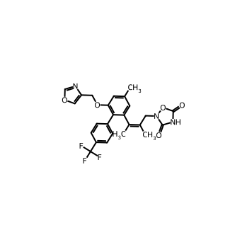 CC(Cn1oc(=O)[nH]c1=O)=C(C)c1cc(C)cc(OCc2cocn2)c1-c1ccc(C(F)(F)F)cc1